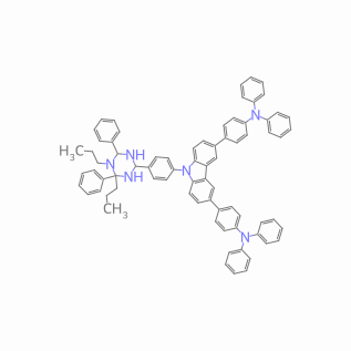 CCCN1C(c2ccccc2)NC(c2ccc(-n3c4ccc(-c5ccc(N(c6ccccc6)c6ccccc6)cc5)cc4c4cc(-c5ccc(N(c6ccccc6)c6ccccc6)cc5)ccc43)cc2)NC1(CCC)c1ccccc1